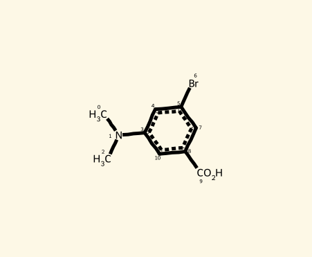 CN(C)c1cc(Br)cc(C(=O)O)c1